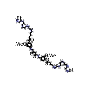 CC/C=C\C/C=C\C/C=C\C/C=C\C/C=C\CCCC(=O)Oc1ccc(/C=C/C(=O)CC(=O)/C=C/c2ccc(OC(=O)CCC/C=C\C/C=C\C/C=C\C/C=C\C/C=C\CC)c(OC)c2)cc1OC